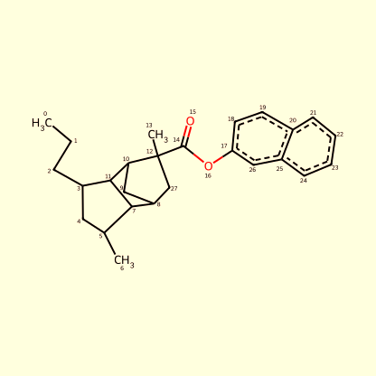 CCCC1CC(C)C2C3CC(C12)C(C)(C(=O)Oc1ccc2ccccc2c1)C3